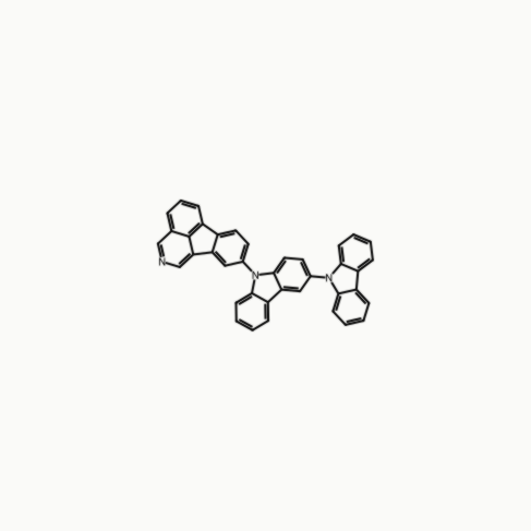 c1cc2c3c(cncc3c1)-c1cc(-n3c4ccccc4c4cc(-n5c6ccccc6c6ccccc65)ccc43)ccc1-2